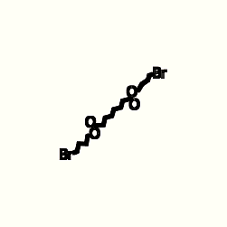 O=C(CCCCCCC(=O)OCCCCBr)OCCCCBr